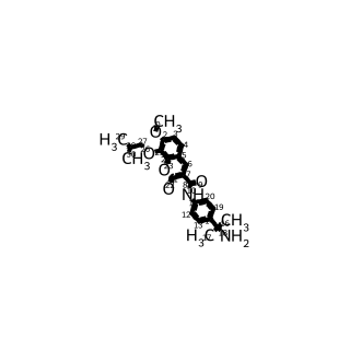 COc1ccc2cc(C(=O)Nc3ccc(C(C)(C)N)cc3)c(=O)oc2c1OCC(C)C